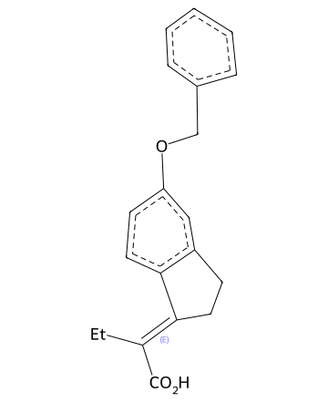 CC/C(C(=O)O)=C1/CCc2cc(OCc3ccccc3)ccc21